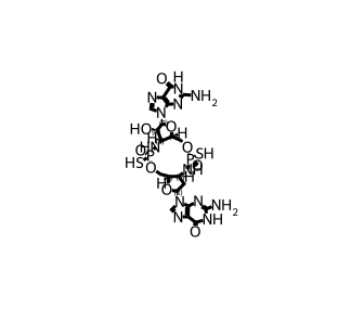 Nc1nc2c(ncn2[C@@H]2O[C@@H]3COP(=O)(S)N[C@H]4C[C@H](n5cnc6c(=O)[nH]c(N)nc65)O[C@@H]4COP(=O)(S)N[C@H]3[C@H]2O)c(=O)[nH]1